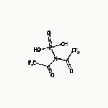 O=C(N(C(=O)C(F)(F)F)P(=O)(O)O)C(F)(F)F